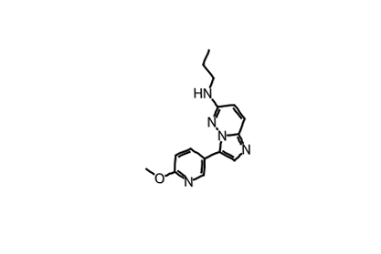 CCCNc1ccc2ncc(-c3ccc(OC)nc3)n2n1